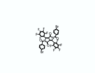 O=C1C2=C(c3c(F)c(F)c(F)c(F)c3F)N(C(=O)c3ccc(Br)cc3)C(=O)C2=C(c2c(F)c(F)c(F)c(F)c2F)N1C(=O)c1ccc(Br)cc1